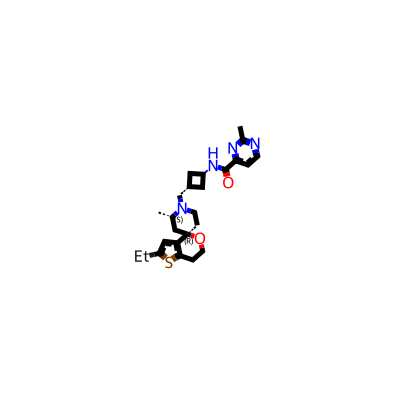 CCc1cc2c(s1)CCO[C@@]21CCN(C[C@H]2C[C@@H](NC(=O)c3ccnc(C)n3)C2)[C@@H](C)C1